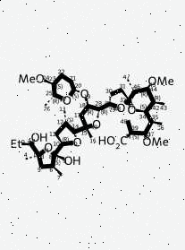 CC[C@@H](O)[C@]1(C)C[C@H](C)[C@@](O)([C@H]2C[C@H](C)[C@H]([C@]3(C)C[C@@H](O[C@H]4CC[C@H](OC)[C@@H](C)O4)[C@H]([C@@H]4CC[C@@]5(O[C@H]([C@@H](C)[C@@H](OC)[C@H](C)C(=O)O)[C@H](C)[C@@H](OC)[C@H]5C)O4)O3)O2)O1